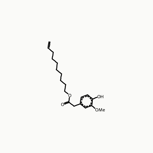 C=CCCCCCCCCOC(=O)Cc1ccc(O)c(OC)c1